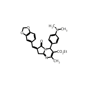 CCOC(=O)C1=C(C)N=C2C/C(=C/c3ccc4c(c3)OCO4)C(=O)N2C1c1ccc(N(C)C)cc1